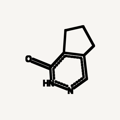 O=c1[nH]ncc2c1CCC2